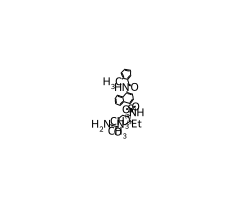 CC[C@H]1CN(C(=O)C(C)(C)N)CC[C@H]1NS(=O)(=O)c1ccc(NC(=O)c2ccccc2C)c2ccccc12